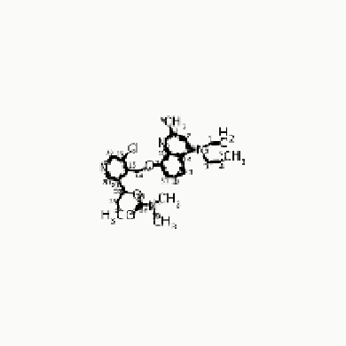 C=CN(/C=C\C)c1cc(C)nc2c(OCc3c(Cl)cncc3C(CC)OC(=O)N(C)C)cccc12